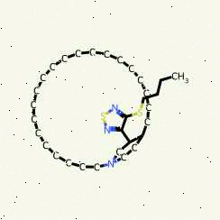 CCCCSc1nsnc1C1CN2CCCCCCCCCCCCCCCCCCCCCC1CC2